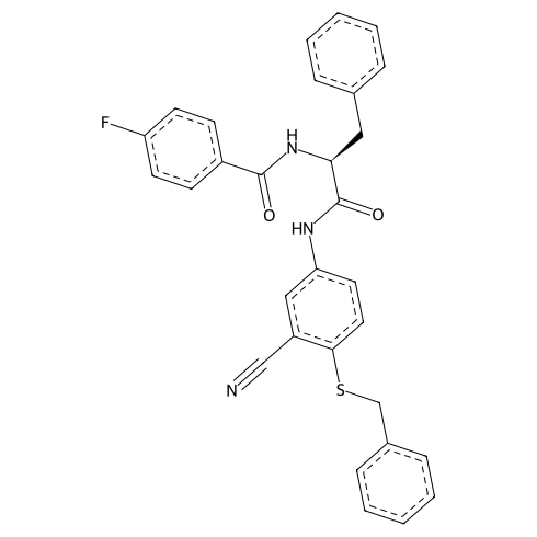 N#Cc1cc(NC(=O)[C@H](Cc2ccccc2)NC(=O)c2ccc(F)cc2)ccc1SCc1ccccc1